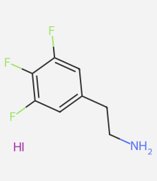 I.NCCc1cc(F)c(F)c(F)c1